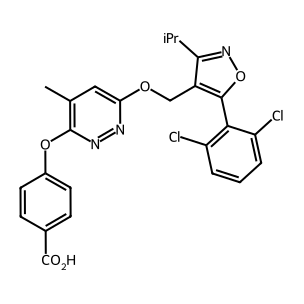 Cc1cc(OCc2c(C(C)C)noc2-c2c(Cl)cccc2Cl)nnc1Oc1ccc(C(=O)O)cc1